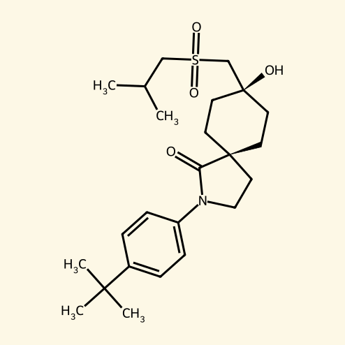 CC(C)CS(=O)(=O)C[C@]1(O)CC[C@]2(CCN(c3ccc(C(C)(C)C)cc3)C2=O)CC1